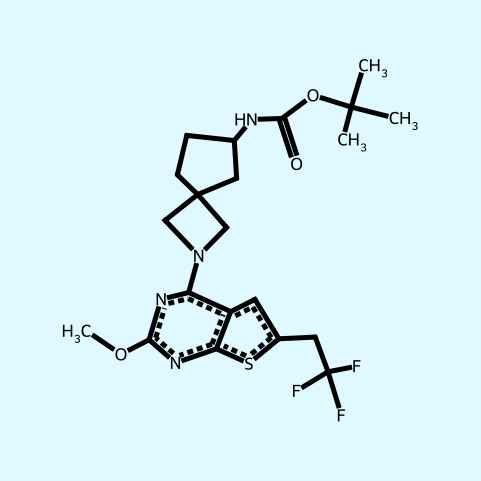 COc1nc(N2CC3(CCC(NC(=O)OC(C)(C)C)C3)C2)c2cc(CC(F)(F)F)sc2n1